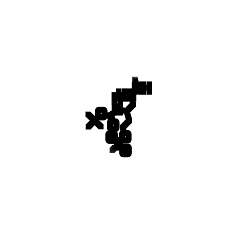 CNNCC(CCOS(C)(=O)=O)NC(=O)OC(C)(C)C